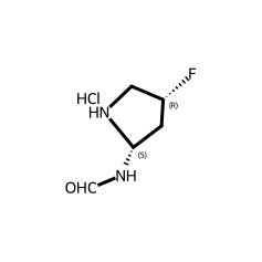 Cl.O=CN[C@H]1C[C@@H](F)CN1